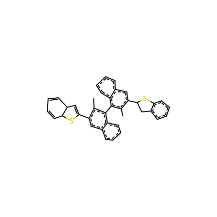 Cc1c(C2=CC3C=CC=CC3S2)cc2ccccc2c1-c1c(C)c(C2Cc3ccccc3S2)cc2ccccc12